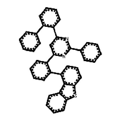 c1ccc(-c2nc(-c3ccccc3-c3ccccc3)cc(-c3ccccc3-c3cccc4sc5ccccc5c34)n2)cc1